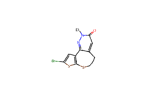 CCn1nc2c(cc1=O)CCSc1sc(Br)cc1-2